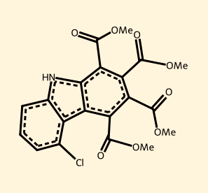 COC(=O)c1c(C(=O)OC)c(C(=O)OC)c2c([nH]c3cccc(Cl)c32)c1C(=O)OC